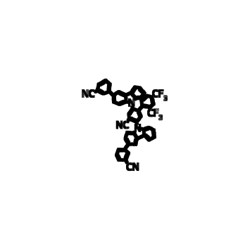 N#Cc1cccc(-c2ccc3c(c2)c2ccccc2n3-c2cc(-c3ccc(C(F)(F)F)cc3C(F)(F)F)c(-n3c4ccccc4c4cc(-c5cccc(C#N)c5)ccc43)cc2C#N)c1